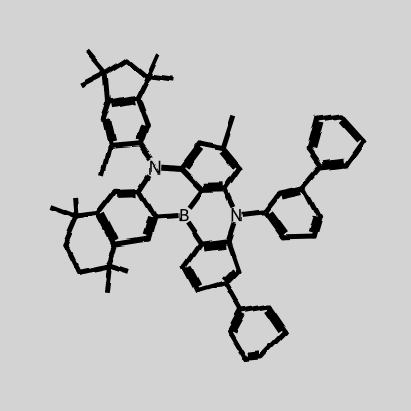 Cc1cc2c3c(c1)N(c1cc4c(cc1C)C(C)(C)CC4(C)C)c1cc4c(cc1B3c1ccc(-c3ccccc3)cc1N2c1cccc(-c2ccccc2)c1)C(C)(C)CCC4(C)C